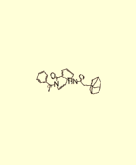 C[C@@H](c1ccccc1)n1ccc2c(NC(=O)CC34CC5CC(CC(C5)C3)C4)cccc2c1=O